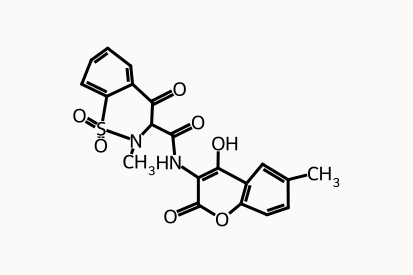 Cc1ccc2oc(=O)c(NC(=O)C3C(=O)c4ccccc4S(=O)(=O)N3C)c(O)c2c1